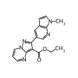 CCOC(=O)c1c(-c2cnc3c(ccn3C)c2)nn2cccnc12